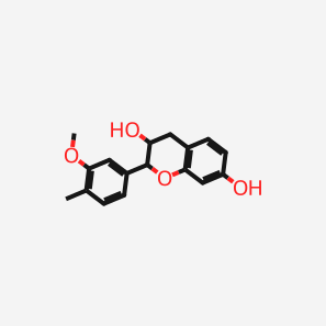 COc1cc(C2Oc3cc(O)ccc3CC2O)ccc1C